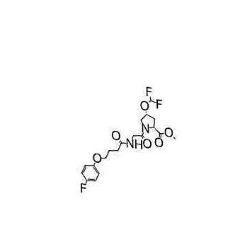 COC(=O)[C@@H]1C[C@@H](OC(F)F)CN1C(=O)CNC(=O)CCCOc1ccc(F)cc1